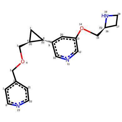 c1cc(COC[C@H]2C[C@@H]2c2cncc(OC[C@@H]3CCN3)c2)ccn1